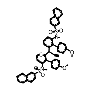 C#CC(c1cccc(N(C)S(=O)(=O)c2ccc3ccccc3c2)c1-c1ccc(OC)cc1)c1cccc(N(C)S(=O)(=O)c2ccc3ccccc3c2)c1-c1ccc(OC)cc1